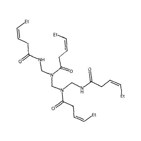 CC/C=C\CC(=O)NCN(CN(CNC(=O)C/C=C\CC)C(=O)C/C=C\CC)C(=O)C/C=C\CC